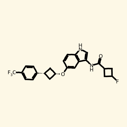 O=C(Nc1c[nH]c2ccc(O[C@H]3C[C@@H](c4ccc(C(F)(F)F)cc4)C3)cc12)C1CC(F)C1